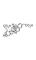 C[C@]12C[C@@H]3O[C@]34[C@@H](CC=C3C=C(CC(=O)O)C=C[C@@]34C)[C@@H]1C[C@@H](CO)[C@@H]2C(=O)CCC(=O)O